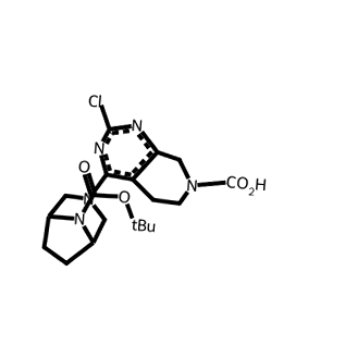 CC(C)(C)OC(=O)N1C2CCC1CN(c1nc(Cl)nc3c1CCN(C(=O)O)C3)C2